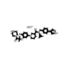 CC(C)(Oc1cc(N2CCCC(C(=O)N(Cc3ccc(-c4cn[nH]c4)cc3)C3CC3)C2)ccc1F)C(=O)N1CCNCC1.Cl